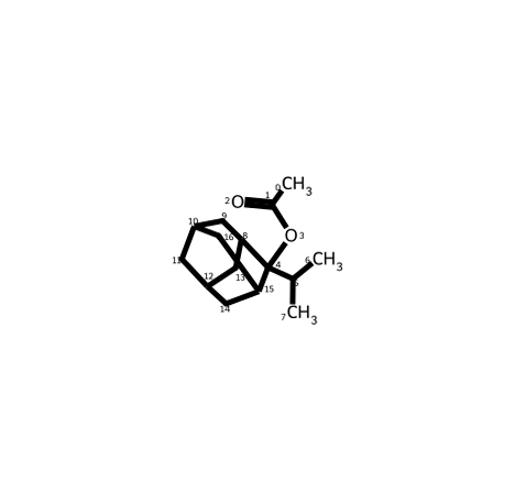 CC(=O)OC1(C(C)C)C2CC3CC(C2)CC1C3